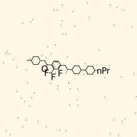 CCCC1CCC(C2CCC(CCc3ccc(C(=O)CC4CCC(C)CC4)c(C(F)F)c3F)CC2)CC1